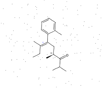 CC/C(C)=C(\C[C@H](C)C(=O)C(C)C)c1ccccc1C